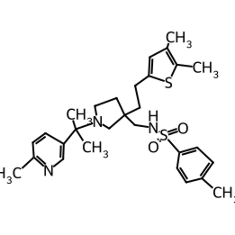 Cc1ccc(S(=O)(=O)NCC2(CCc3cc(C)c(C)s3)CCN(C(C)(C)c3ccc(C)nc3)C2)cc1